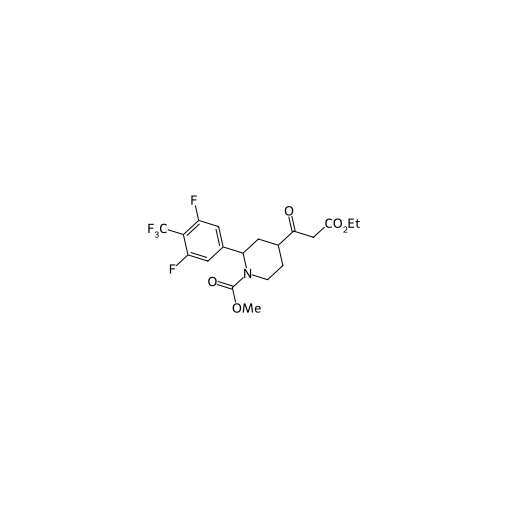 CCOC(=O)CC(=O)C1CCN(C(=O)OC)C(c2cc(F)c(C(F)(F)F)c(F)c2)C1